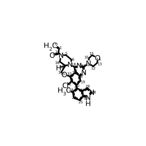 C=CC(=O)N1CCN2c3nc(N4CCOCC4)nc4cc(-c5c(C)ccc6[nH]ncc56)c(Cl)c(c34)OC[C@@H]2C1